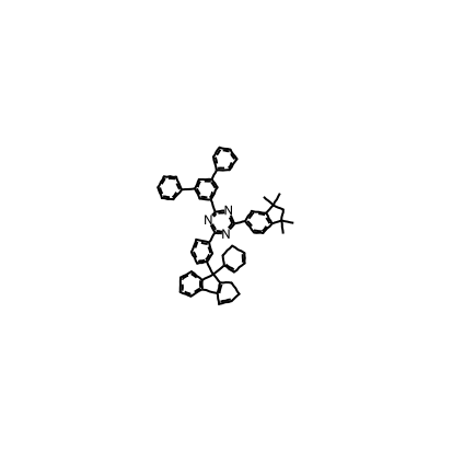 CC1(C)CC(C)(C)c2cc(-c3nc(-c4cc(-c5ccccc5)cc(-c5ccccc5)c4)nc(-c4cccc(C5(C6=CC=CCC6)C6=C(C=CCC6)c6ccccc65)c4)n3)ccc21